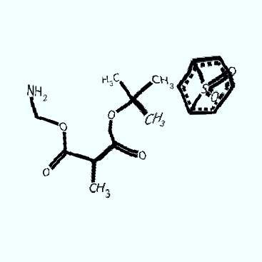 CC(C(=O)OCN)C(=O)OC(C)(C)C.O=S1(=O)c2cccc1c2